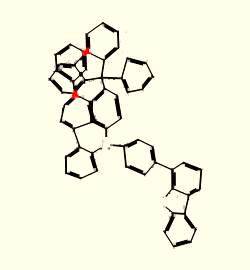 c1ccc(-c2ccc(-c3ccccc3N(c3ccc(-c4cccc5c4sc4ccccc45)cc3)c3ccc(C4(c5ccccc5)c5ccccc5-c5ccccc54)cc3)cc2)cc1